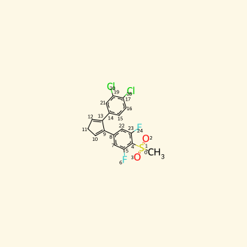 CS(=O)(=O)c1c(F)cc(C2=CCC=C2c2ccc(Cl)c(Cl)c2)cc1F